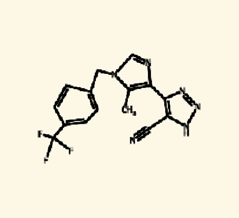 Cc1c(-c2nn[nH]c2C#N)ncn1Cc1ccc(C(F)(F)F)cc1